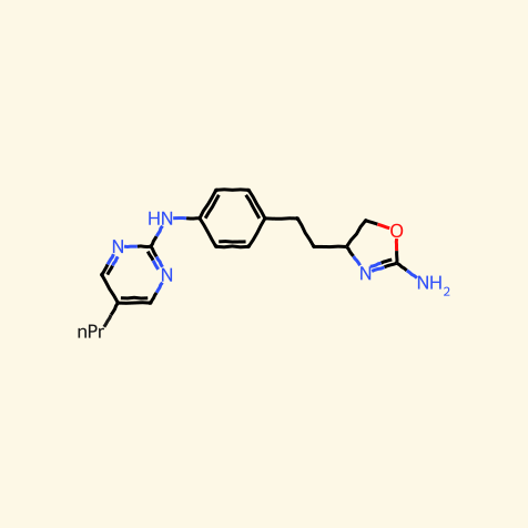 CCCc1cnc(Nc2ccc(CCC3COC(N)=N3)cc2)nc1